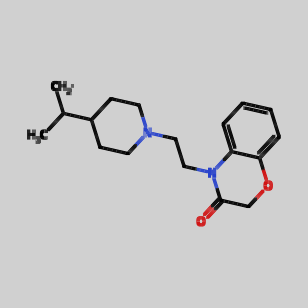 [CH2]C(C)C1CCN(CCN2C(=O)COc3ccccc32)CC1